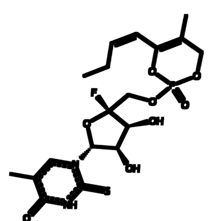 CC/C=C\C1=C(C)COP(=O)(OC[C@@]2(F)O[C@@H](n3cc(C)c(=O)[nH]c3=S)[C@H](O)[C@@H]2O)O1